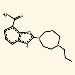 CCCN1CCCN(c2nc3c(C(N)=O)cccc3[nH]2)CC1